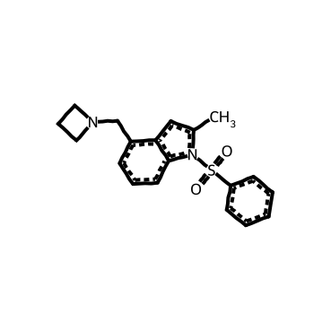 Cc1cc2c(CN3CCC3)cccc2n1S(=O)(=O)c1ccccc1